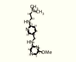 COc1cncc(NCc2ccc(NCCN(C)C)nc2)n1